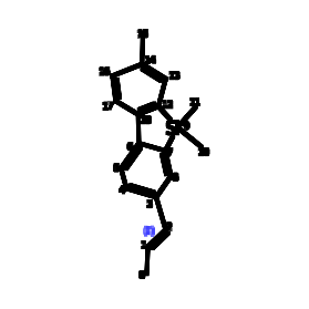 C/C=C/c1ccc2c(c1)[Si](C)(C)c1cc(C)ccc1-2